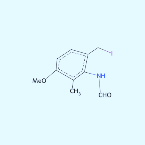 COc1ccc(CI)c(NC=O)c1C